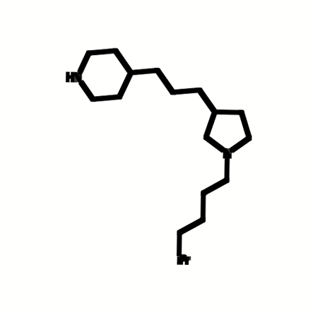 CC(C)CCCCN1CCC(CCCC2CCNCC2)C1